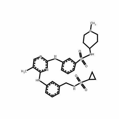 Cc1cnc(Nc2cccc(S(=O)(=O)NC3CCN(C)CC3)c2)nc1Nc1cccc(CNS(=O)(=O)C2CC2)c1